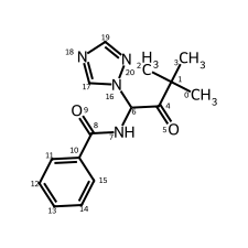 CC(C)(C)C(=O)C(NC(=O)c1ccccc1)n1cncn1